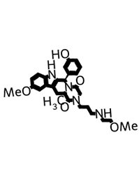 COCCNCCCN1CC(=O)N2[C@H](c3cccc(O)c3)c3[nH]c4ccc(OC)cc4c3C[C@@]2(C)C1=O